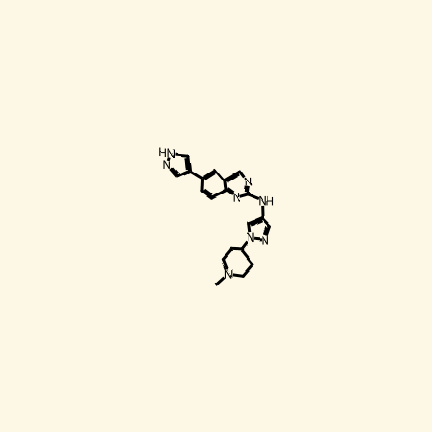 CN1CCC(n2cc(Nc3ncc4cc(-c5cn[nH]c5)ccc4n3)cn2)CC1